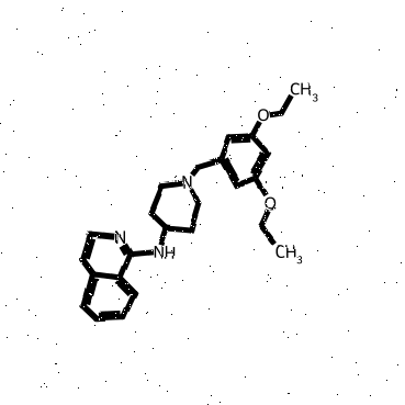 CCOc1cc(CN2CCC(Nc3nccc4ccccc34)CC2)cc(OCC)c1